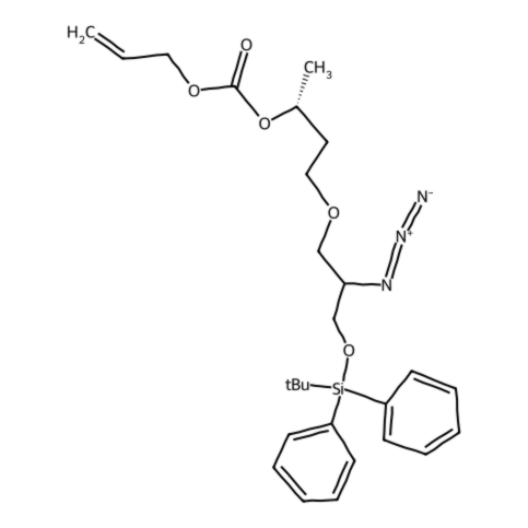 C=CCOC(=O)O[C@H](C)CCOCC(CO[Si](c1ccccc1)(c1ccccc1)C(C)(C)C)N=[N+]=[N-]